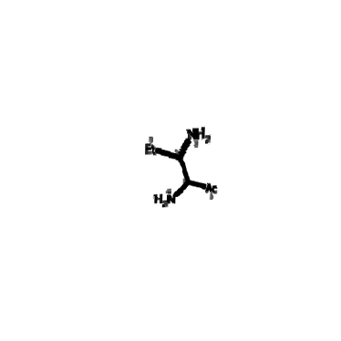 CCC(N)C(N)C(C)=O